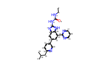 CCNC(=O)Nc1nc2cc(-c3ccc(CC(C)C)nc3)cc(-c3ncccn3)c2[nH]1